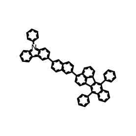 c1ccc(-c2c3c(c(-c4ccccc4)c4ccccc24)-c2ccc(-c4ccc5cc(-c6ccc7c(c6)c6ccccc6n7-c6ccccc6)ccc5c4)c4cccc-3c24)cc1